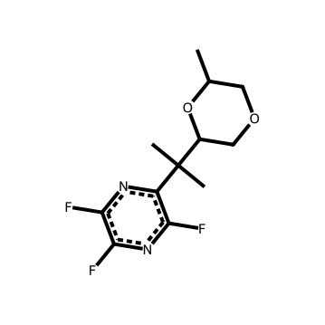 CC1COCC(C(C)(C)c2nc(F)c(F)nc2F)O1